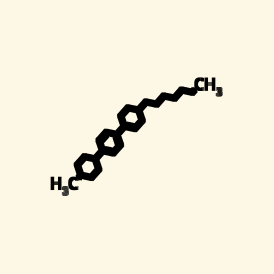 CCCCCCCC1CC=C(c2ccc(C3CCC(C)CC3)cc2)CC1